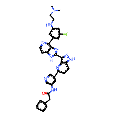 CN(C)CCNc1cc(F)cc(-c2nccc3[nH]c(-c4n[nH]c5ccc(-c6cncc(NC(=O)Cc7ccccc7)c6)nc45)nc23)c1